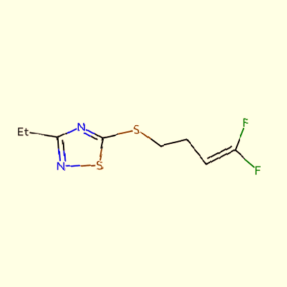 CCc1nsc(SCCC=C(F)F)n1